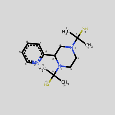 CC(C)(S)N1CCN(C(C)(C)S)C(c2ccccn2)C1